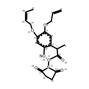 C=CCOc1cc(C(C)C(=O)ON2C(=O)CCC2=O)c([N+](=O)[O-])cc1OC/C=C\C